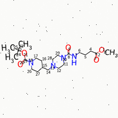 COC(=O)CCCNC(=O)N1CCN(CC2CCN(C(=O)OC(C)(C)C)CC2)CC1